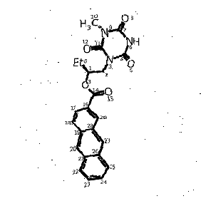 CCC(Cn1c(=O)[nH]c(=O)n(C)c1=O)OC(=O)c1ccc2cc3ccccc3cc2c1